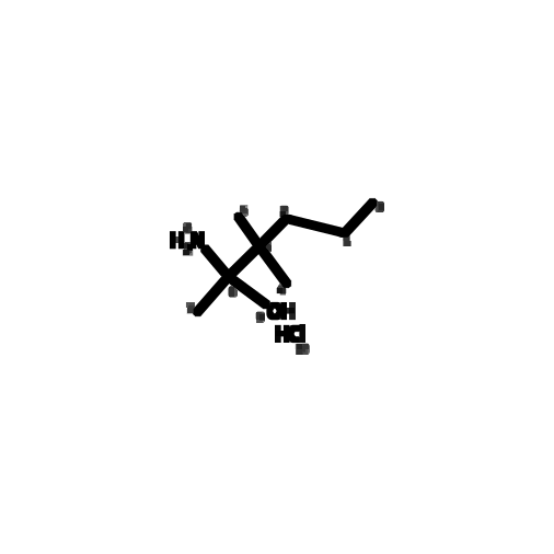 CCCC(C)(C)C(C)(N)O.Cl